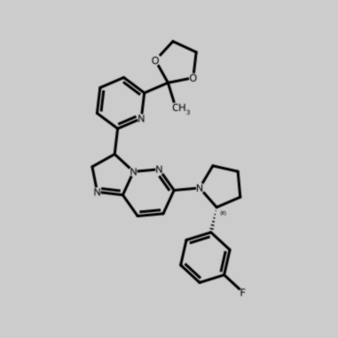 CC1(c2cccc(C3CN=C4C=CC(N5CCC[C@@H]5c5cccc(F)c5)=NN43)n2)OCCO1